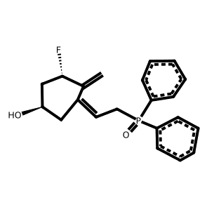 C=C1/C(=C\CP(=O)(c2ccccc2)c2ccccc2)C[C@@H](O)C[C@@H]1F